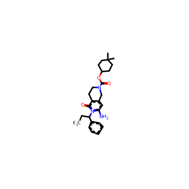 CC1(C)CCC(OC(=O)N2CCc3c(cc(N)n(C(CC(F)(F)F)c4ccccc4)c3=O)C2)CC1